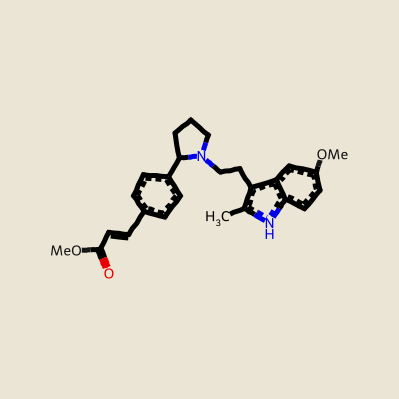 COC(=O)C=Cc1ccc(C2CCCN2CCc2c(C)[nH]c3ccc(OC)cc23)cc1